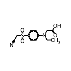 CCN(CC(=O)O)c1ccc(S(=O)(=O)CC#N)cc1